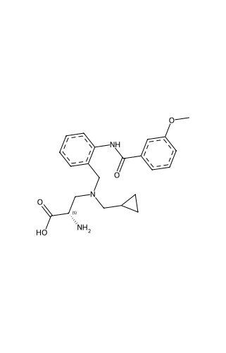 COc1cccc(C(=O)Nc2ccccc2CN(CC2CC2)C[C@H](N)C(=O)O)c1